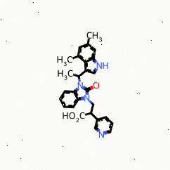 Cc1cc(C)c2c(C(C)n3c(=O)n(CC(C(=O)O)c4cccnc4)c4ccccc43)c[nH]c2c1